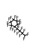 F[C](F)C(F)(F)C(F)(F)C(F)(F)C1(F)C(F)(F)C(F)(F)C(F)(F)C(F)(F)C1(F)F